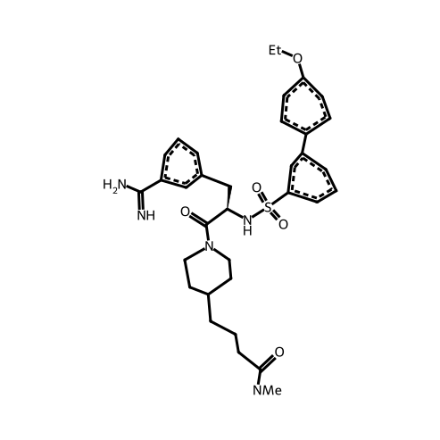 CCOc1ccc(-c2cccc(S(=O)(=O)N[C@H](Cc3cccc(C(=N)N)c3)C(=O)N3CCC(CCCC(=O)NC)CC3)c2)cc1